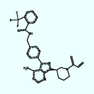 C=CC(=O)N1CCC[C@@H](n2nc(-c3ccc(CNC(=O)c4ccccc4C(F)(F)F)cc3)c3c(N)ncnc32)C1